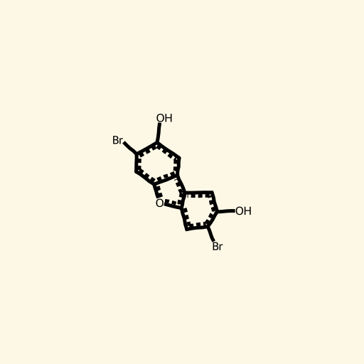 Oc1cc2c(cc1Br)oc1cc(Br)c(O)cc12